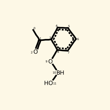 CC(=O)c1ccccc1OBO